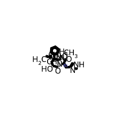 C=CC(C)(C)[C@]12CC(O)C(=O)N3/C(=C/c4c[nH]cn4)C(=O)N[C@@]31N(OC)c1ccccc12